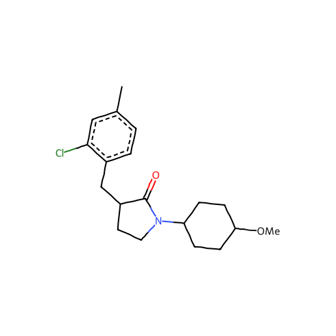 COC1CCC(N2CCC(Cc3ccc(C)cc3Cl)C2=O)CC1